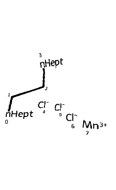 CCCCCCCCCCCCCCCC.[Cl-].[Cl-].[Cl-].[Mn+3]